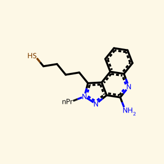 CCCn1nc2c(N)nc3ccccc3c2c1CCCCS